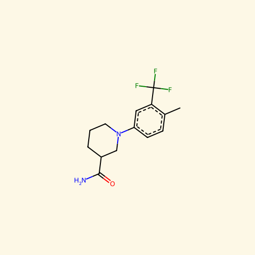 Cc1ccc(N2CCCC(C(N)=O)C2)cc1C(F)(F)F